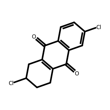 O=C1C2=C(CC(Cl)CC2)C(=O)c2ccc(Cl)cc21